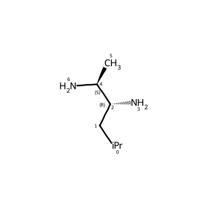 CC(C)C[C@@H](N)[C@H](C)N